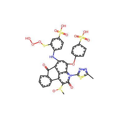 Cc1nnc(-n2c(=O)c([S+](C)[O-])c3c4c(c(Nc5ccc(S(=O)(=O)O)cc5SOOO)cc(Oc5ccc(S(=O)(=O)O)cc5)c42)C(=O)c2ccccc2-3)s1